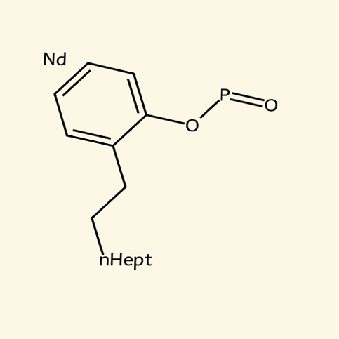 CCCCCCCCCc1ccccc1OP=O.[Nd]